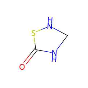 O=C1NCNS1